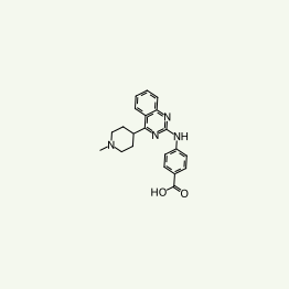 CN1CCC(c2nc(Nc3ccc(C(=O)O)cc3)nc3ccccc23)CC1